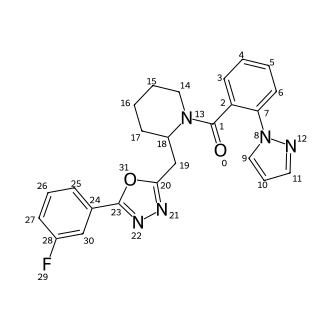 O=C(c1ccccc1-n1cccn1)N1CCCCC1Cc1nnc(-c2cccc(F)c2)o1